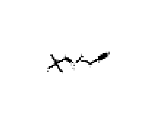 C#CCO/N=[C]/C(C)(C)C